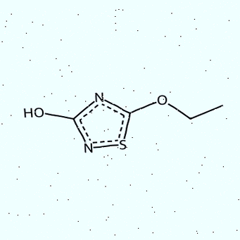 CCOc1nc(O)ns1